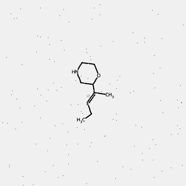 CC/C=C(\C)C1CNCCO1